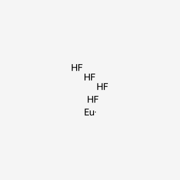 F.F.F.F.[Eu]